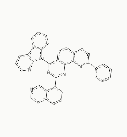 c1ccc(-c2ccc3ccc4c(-n5c6ccccc6c6cccnc65)nc(-c5cccc6ccncc56)nc4c3n2)cc1